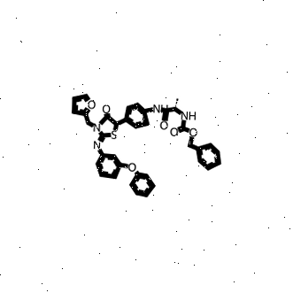 C[C@H](NC(=O)OCc1ccccc1)C(=O)Nc1ccc(C2S/C(=N\c3cccc(Oc4ccccc4)c3)N(Cc3ccco3)C2=O)cc1